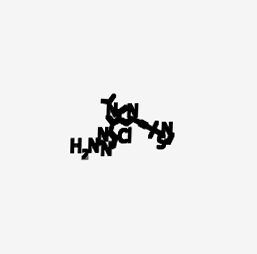 CC(C)n1cc(-c2nc(N)ncc2Cl)c2cc(C#CC(C)(C)c3nccs3)ncc21